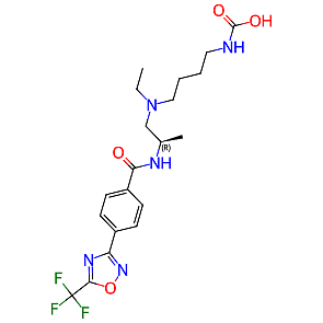 CCN(CCCCNC(=O)O)C[C@@H](C)NC(=O)c1ccc(-c2noc(C(F)(F)F)n2)cc1